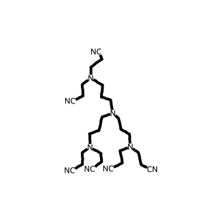 N#CCCN(CCC#N)CCCN(CCCN(CCC#N)CCC#N)CCCN(CCC#N)CCC#N